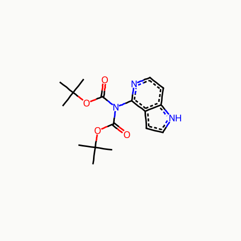 CC(C)(C)OC(=O)N(C(=O)OC(C)(C)C)c1nccc2[nH]ccc12